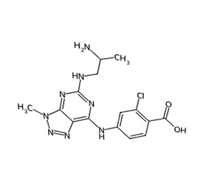 CC(N)CNc1nc(Nc2ccc(C(=O)O)c(Cl)c2)c2nnn(C)c2n1